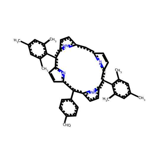 Cc1cc(C)c(-c2c3nc(c(-c4ccc(C=O)cc4)c4ccc([nH]4)c(-c4c(C)cc(C)cc4C)c4nc(cc5ccc2[nH]5)C=C4)C=C3)c(C)c1